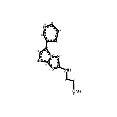 COCCNc1nn2c(-c3cccnc3)cnc2s1